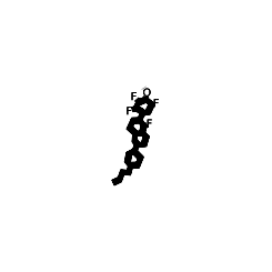 C=CCCc1ccc(-c2ccc3c(F)c(-c4cc(F)c(OC)c(F)c4F)ccc3c2)cc1